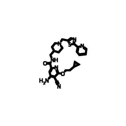 N#Cc1c(N)cc(C(=O)NCC2CCN(Cc3cnc(-c4ccccn4)s3)CC2)nc1OCCC1CC1